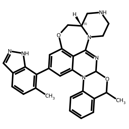 Cc1ccc2cn[nH]c2c1-c1cc2c3c(c1)N1c4ccccc4C(C)OC1N=C3N1CCNC[C@H]1CO2